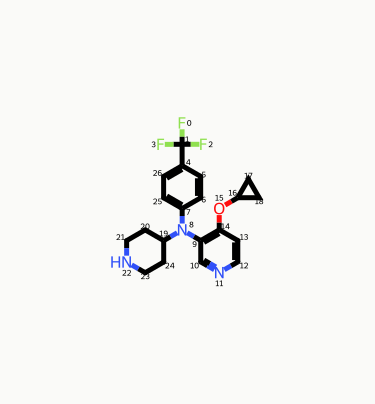 FC(F)(F)c1ccc(N(c2cnccc2OC2CC2)C2CCNCC2)cc1